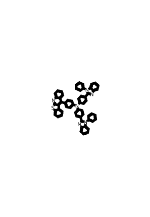 c1ccc(-n2c(-c3ccc(N(c4ccc(-c5c6ccccc6nc6sc7ccccc7c56)cc4)c4ccc(-c5nc6ccccc6n5-c5ccccc5)cc4)cc3)nc3ccccc32)cc1